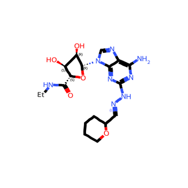 CCNC(=O)[C@H]1O[C@@H](n2cnc3c(N)nc(N/N=C/C4CCCCO4)nc32)[C@H](O)[C@@H]1O